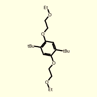 CCOCCOc1cc(C(C)(C)C)c(OCCOCC)cc1C(C)(C)C